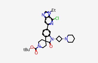 CCn1cnc2cc(-c3ccc4c(c3)N([C@H]3C[C@@H](N5CCCCC5)C3)C(=O)C43CCN(C(=O)OC(C)(C)C)CC3)nc(Cl)c21